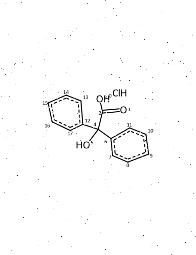 Cl.O=C(O)C(O)(c1ccccc1)c1ccccc1